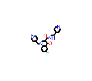 O=C(NCCc1ccncc1)c1cn(Cc2ccncc2)c2ccc(F)cc2c1=O